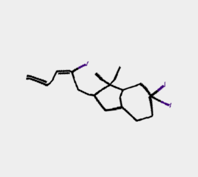 C=C/C=C(/I)CC1CC2CCC(I)(I)CC2C1(C)C